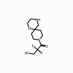 CC(C)CC(F)(F)C(=O)N1CCC2(CC1)CNCCO2